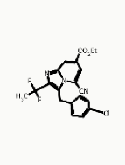 CCOC(=O)c1cc(C#N)n2c(Cc3ccc(Cl)cc3)c(C(C)(F)F)nc2c1